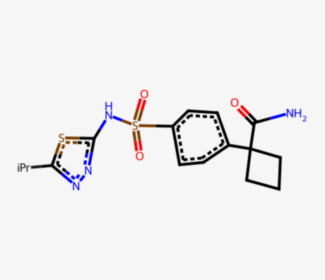 CC(C)c1nnc(NS(=O)(=O)c2ccc(C3(C(N)=O)CCC3)cc2)s1